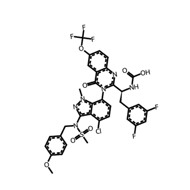 COc1ccc(CN(c2nn(C)c3c(-n4c([C@H](Cc5cc(F)cc(F)c5)NC(=O)O)nc5ccc(OC(F)(F)F)cc5c4=O)ccc(Cl)c23)S(C)(=O)=O)cc1